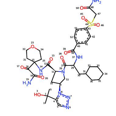 CC(C)(O)c1cnnn1[C@H]1C[C@@H](C(=O)NC2(C(=O)C(N)=O)CCOCC2)N(C(=O)C(CC2CCCCC2)NC(=O)c2ccc(S(=O)(=O)CC(N)=O)cc2)C1